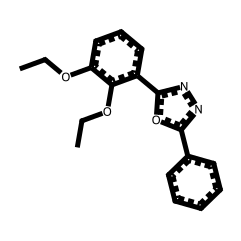 CCOc1cccc(-c2nnc(-c3ccccc3)o2)c1OCC